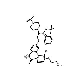 COCCOc1ccc(C(N)=O)c(-c2cc(C(CN(C(=O)OC(C)(C)C)C3CCN(C(C)=O)CC3)c3ccccc3)ccc2Cl)c1F